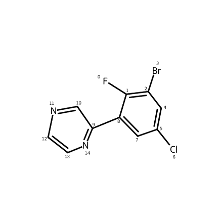 Fc1c(Br)cc(Cl)cc1-c1cnccn1